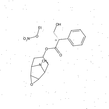 CCO[N+](=O)[O-].CN1C2CC(OC(=O)[C@H](CO)c3ccccc3)CC1C1OC12